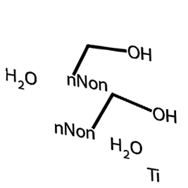 CCCCCCCCCCO.CCCCCCCCCCO.O.O.[Ti]